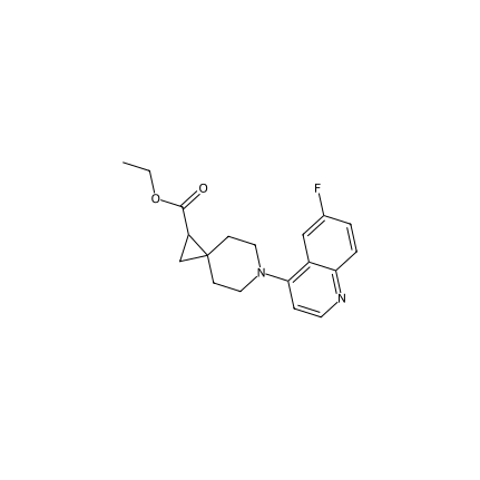 CCOC(=O)C1CC12CCN(c1ccnc3ccc(F)cc13)CC2